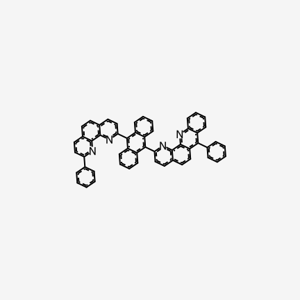 c1ccc(-c2ccc3ccc4ccc(-c5c6ccccc6c(-c6ccc7ccc8c(-c9ccccc9)c9ccccc9nc8c7n6)c6ccccc56)nc4c3n2)cc1